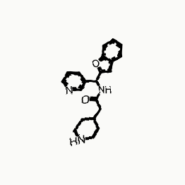 O=C(CC1CCNCC1)NC(c1cccnc1)c1cc2ccccc2o1